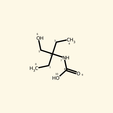 CCC(CC)(CO)NC(=O)O